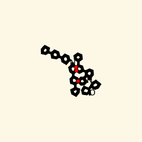 CC12C=CC=CC1c1c(cccc1-n1c3ccccc3c3c(-c4cccc(-c5ccccc5N(c5ccc(-c6ccc(-c7ccccc7)cc6)cc5)c5ccc(-c6ccc(-c7ccccc7)cc6)cc5)c4)cccc31)O2